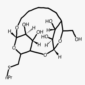 CCCSCC1O[C@@H]2OCCCCCC3C(CO)O[C@H](OC1[C@@H](O)[C@@H]2O)[C@@H](O)[C@@H]3O